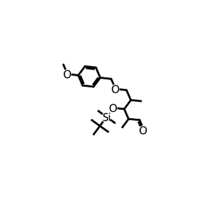 COc1ccc(COCC(C)C(O[Si](C)(C)C(C)(C)C)C(C)C=O)cc1